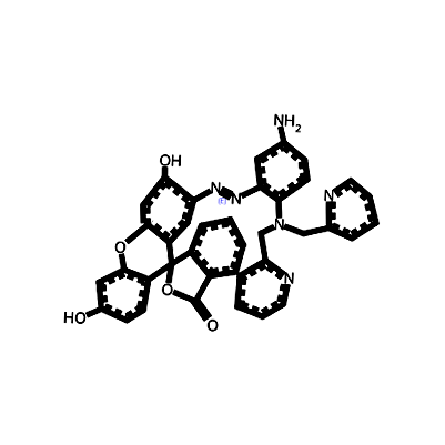 Nc1ccc(N(Cc2ccccn2)Cc2ccccn2)c(/N=N/c2cc3c(cc2O)Oc2cc(O)ccc2C32OC(=O)c3ccccc32)c1